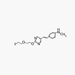 CNc1ccc(/C=C/c2cnc(OCCOCCF)nc2)cc1